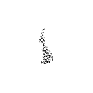 CCCCCCc1ccc(C#Cc2ccc(N(Cc3ccc(C(=O)O)c(O)c3)C(=O)CC(C)(C)C)cc2)cc1